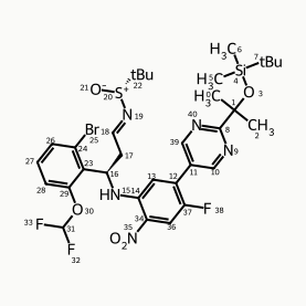 CC(C)(O[Si](C)(C)C(C)(C)C)c1ncc(-c2cc(N[C@H](CC=N[S@+]([O-])C(C)(C)C)c3c(Br)cccc3OC(F)F)c([N+](=O)[O-])cc2F)cn1